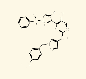 Cc1cn(S(=O)(=O)c2ccccc2)nc1-c1nc(Nc2cnn(Cc3ccc([N+](=O)[O-])cc3)c2)ncc1Cl